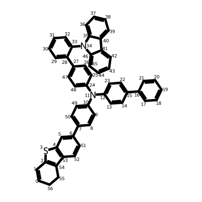 C1=Cc2sc3cc(-c4ccc(N(c5ccc(-c6ccccc6)cc5)c5ccc(-c6ccccc6-n6c7ccccc7c7ccccc76)cc5)cc4)ccc3c2CC1